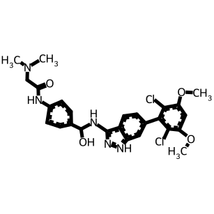 COc1cc(OC)c(Cl)c(-c2ccc3c(NC(O)c4ccc(NC(=O)CN(C)C)cc4)n[nH]c3c2)c1Cl